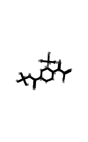 C=C(F)C(=O)N1CCN(C(=O)OC(C)(C)C)C[C@@H]1C(F)(F)F